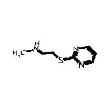 CNCCSc1ncccn1